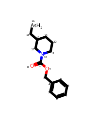 O=C(OCc1ccccc1)N1CCCC(C[AsH2])C1